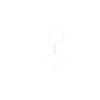 CCC1CC2CCCCC2N1CC